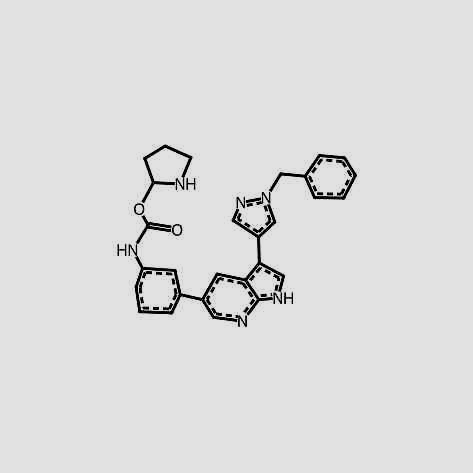 O=C(Nc1cccc(-c2cnc3[nH]cc(-c4cnn(Cc5ccccc5)c4)c3c2)c1)OC1CCCN1